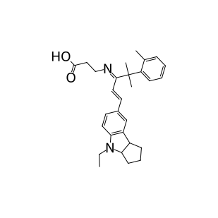 CCN1c2ccc(/C=C/C(=N\CCC(=O)O)C(C)(C)c3ccccc3C)cc2C2CCCC21